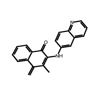 C=C1C(C)=C(Nc2ccc3ncccc3c2)C(=O)c2ccccc21